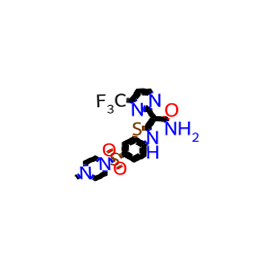 CN1CCN(S(=O)(=O)c2ccc3c(c2)S/C(=C(/C(N)=O)c2nccc(C(F)(F)F)n2)N3)CC1